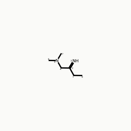 CCC(=N)CN(C)C